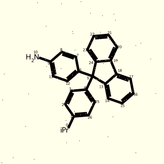 CC(C)c1ccc(C2(c3ccc(N)cc3)c3ccccc3-c3ccccc32)cc1